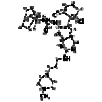 CN1CCN(CCCNc2ncc3cc(-c4c(Cl)cccc4Cl)c(NC(=O)NC45CC6CC(CC(C6)C4)C5)nc3n2)CC1